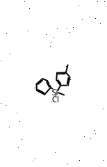 Cc1ccc([Si](C)(Cl)c2ccccc2)cc1